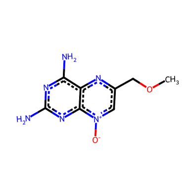 COCc1c[n+]([O-])c2nc(N)nc(N)c2n1